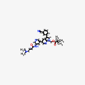 CN(C)C/C=C/C(=O)Nc1cncc(-c2cnc3c(c2)c(-c2cccc(C#N)c2)cn3COC(=O)C(C)(C)C)c1